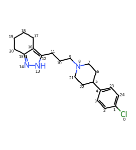 Clc1ccc(C2CCN(CCCc3[nH]nc4c3CCCC4)CC2)cc1